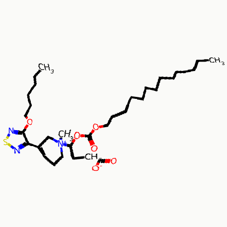 CCCCCCCCCCCCCOC(=O)OC(CC)[N+]1(C)CCC=C(c2nsnc2OCCCCCC)C1.O=C[O-]